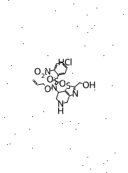 C=CCON(C1CNCc2nc(CO)sc21)S(=O)(=O)c1ccccc1[N+](=O)[O-].Cl